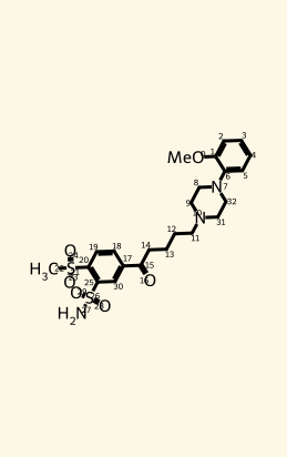 COc1ccccc1N1CCN(CCCCC(=O)c2ccc(S(C)(=O)=O)c(S(N)(=O)=O)c2)CC1